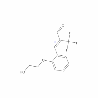 O=C/C(=C/c1ccccc1OCCO)C(F)(F)F